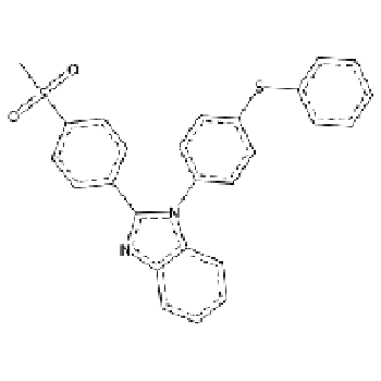 CS(=O)(=O)c1ccc(-c2nc3ccccc3n2-c2ccc(Sc3ccccc3)cc2)cc1